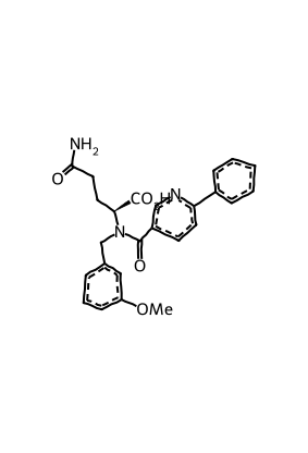 COc1cccc(CN(C(=O)c2ccc(-c3ccccc3)nc2)[C@@H](CCC(N)=O)C(=O)O)c1